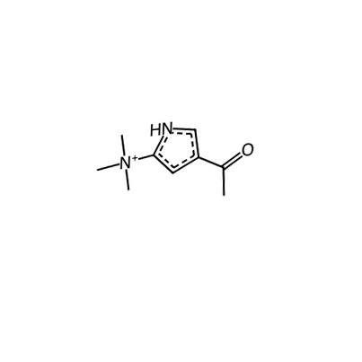 CC(=O)c1c[nH]c([N+](C)(C)C)c1